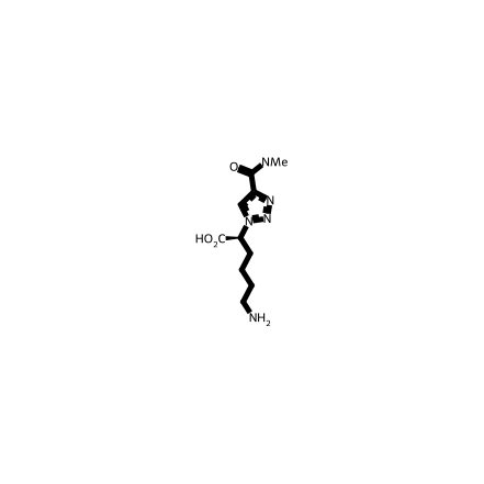 CNC(=O)c1cn([C@@H](CCCCN)C(=O)O)nn1